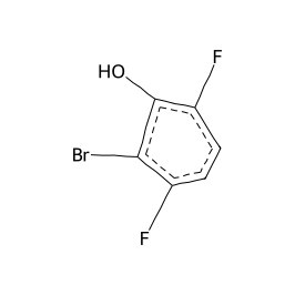 Oc1c(F)ccc(F)c1Br